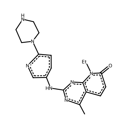 CCn1c(=O)ccc2c(C)nc(Nc3ccc(N4CCNCC4)nc3)nc21